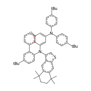 CC1C=C(N(c2ccc(C(C)(C)C)cc2)c2ccc(C(C)(C)C)cc2)C=C(N(c2ccc(C(C)(C)C)cc2-c2ccccc2)c2csc3cc4c(cc23)C(C)(C)CCC4(C)C)C1